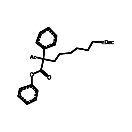 CCCCCCCCCCCCCCCCC(C(C)=O)(C(=O)Oc1ccccc1)c1ccccc1